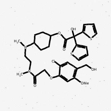 COc1cc(OCC(=O)N(C)CCN(C)C2CCC(OC(=O)C(O)(c3cccs3)c3cccs3)CC2)c(Cl)cc1CO